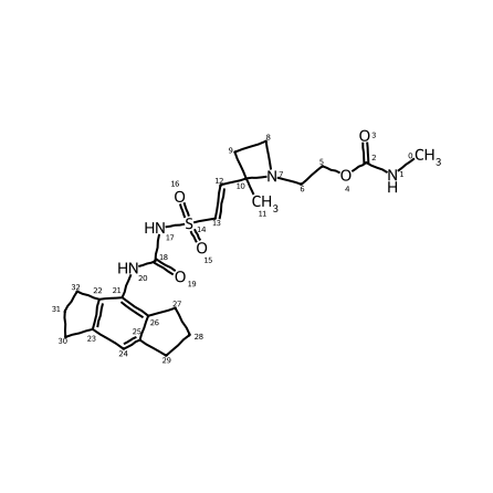 CNC(=O)OCCN1CCC1(C)/C=C/S(=O)(=O)NC(=O)Nc1c2c(cc3c1CCC3)CCC2